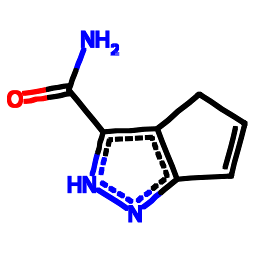 NC(=O)c1[nH]nc2c1CC=C2